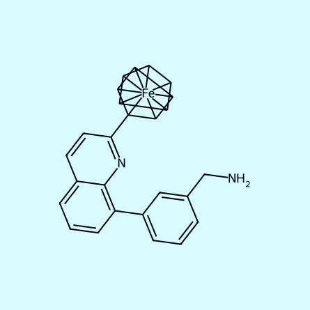 NCc1cccc(-c2cccc3ccc([C]45[CH]6[CH]7[CH]8[CH]4[Fe]786549%10%11[CH]5[CH]4[CH]9[CH]%10[CH]5%11)nc23)c1